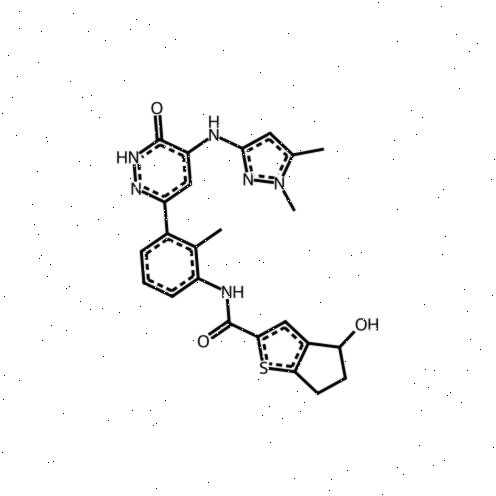 Cc1c(NC(=O)c2cc3c(s2)CCC3O)cccc1-c1cc(Nc2cc(C)n(C)n2)c(=O)[nH]n1